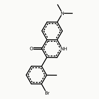 Cc1c(Br)cccc1-c1c[nH]c2cc(N(C)C)ccc2c1=O